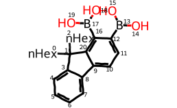 CCCCCCC1(CCCCCC)c2ccccc2-c2ccc(B(O)O)c(B(O)O)c21